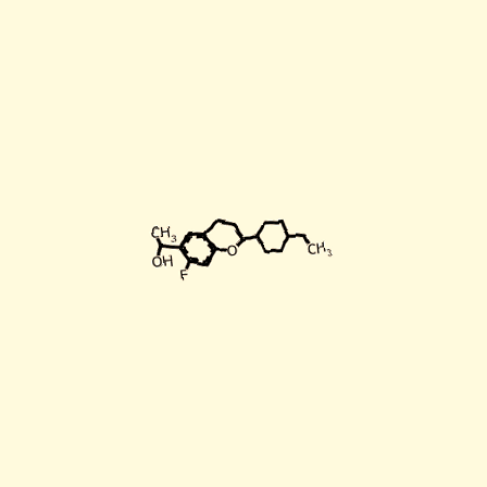 CCC1CCC(C2CCc3cc(C(C)O)c(F)cc3O2)CC1